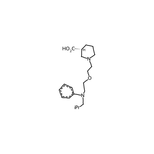 CC(C)CN(CCOCCN1CCC[C@@H](C(=O)O)C1)c1ccccc1